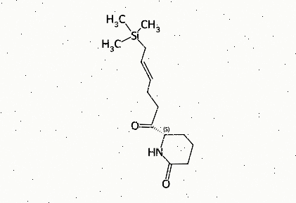 C[Si](C)(C)CC=CCCC(=O)[C@@H]1CCCC(=O)N1